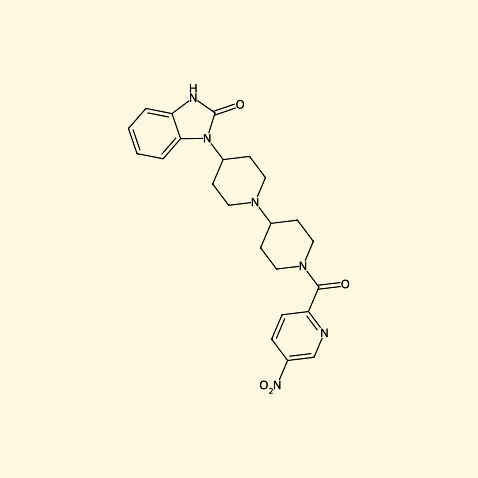 O=C(c1ccc([N+](=O)[O-])cn1)N1CCC(N2CCC(n3c(=O)[nH]c4ccccc43)CC2)CC1